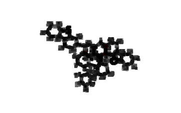 c1ccc(-c2ccccc2-c2c(-c3ccccc3)cccc2N(c2ccc(-c3ccc4c(c3)sc3ccccc34)cc2)c2cccc3c2oc2ccccc23)cc1